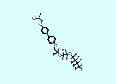 C[C@H](Cl)COc1ccc(-c2ccc(OCC(F)(F)OC(F)(F)C(F)(F)OC(F)(F)C(F)(F)C(F)(F)C(F)(F)F)cc2)cc1